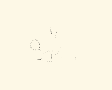 COC(=O)C(NC(=O)N(CCCN)CC(=O)O)c1ccccc1.O=C(O)C(F)(F)F